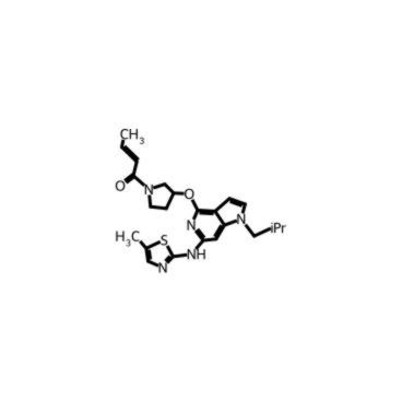 CC=CC(=O)N1CCC(Oc2nc(Nc3ncc(C)s3)cc3c2ccn3CC(C)C)C1